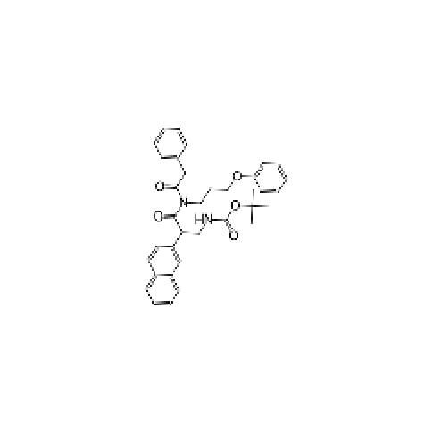 CC(C)(C)OC(=O)NCC(C(=O)N(CCCOc1ccccc1)C(=O)Cc1ccccc1)c1ccc2ccccc2c1